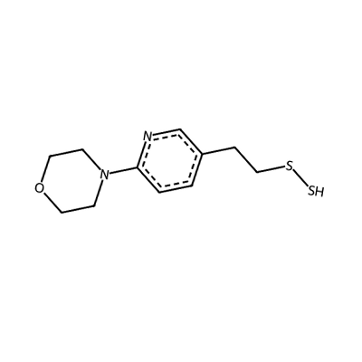 SSCCc1ccc(N2CCOCC2)nc1